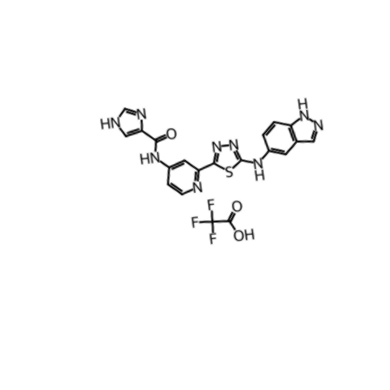 O=C(Nc1ccnc(-c2nnc(Nc3ccc4[nH]ncc4c3)s2)c1)c1c[nH]cn1.O=C(O)C(F)(F)F